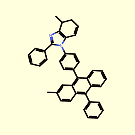 Cc1ccc2c(-c3ccccc3)c3ccccc3c(-c3ccc(-n4c(-c5ccccc5)nc5c4C=CCC5C)cc3)c2c1